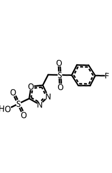 O=S(=O)(O)c1nnc(CS(=O)(=O)c2ccc(F)cc2)o1